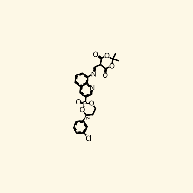 CC1(C)OC(=O)C(C=Nc2cccc3cc(P4(=O)OCC[C@@H](c5cccc(Cl)c5)O4)cnc23)C(=O)O1